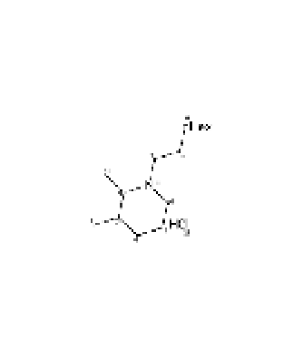 CCCCCCCCN1CCCC(C)C1C.Cl